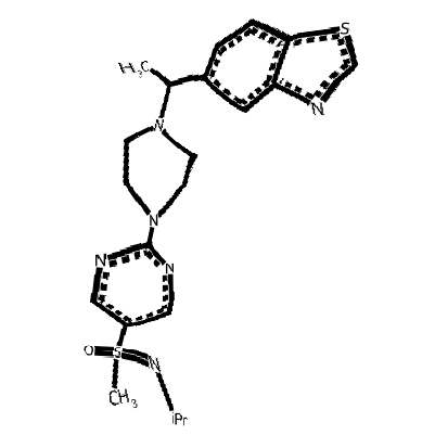 CC(C)N=S(C)(=O)c1cnc(N2CCN(C(C)c3ccc4scnc4c3)CC2)nc1